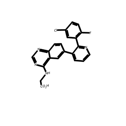 O=C(O)CNc1ncnc2ccc(-c3cccnc3-c3cc(Cl)ccc3F)cc12